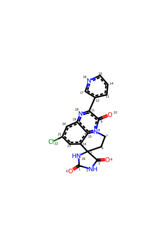 O=C1NC(=O)C2(CCn3c(=O)c(-c4cccnc4)nc4cc(Cl)cc2c43)N1